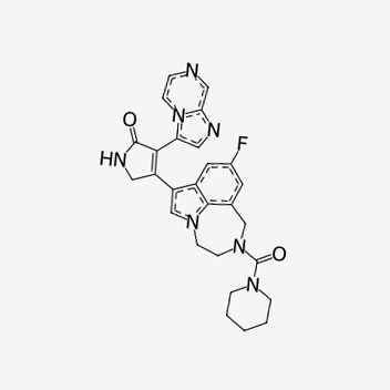 O=C1NCC(c2cn3c4c(cc(F)cc24)CN(C(=O)N2CCCCC2)CC3)=C1c1cnc2cnccn12